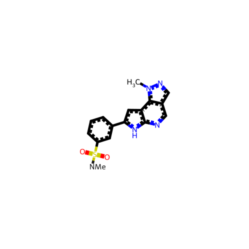 CNS(=O)(=O)c1cccc(-c2cc3c(ncc4cnn(C)c43)[nH]2)c1